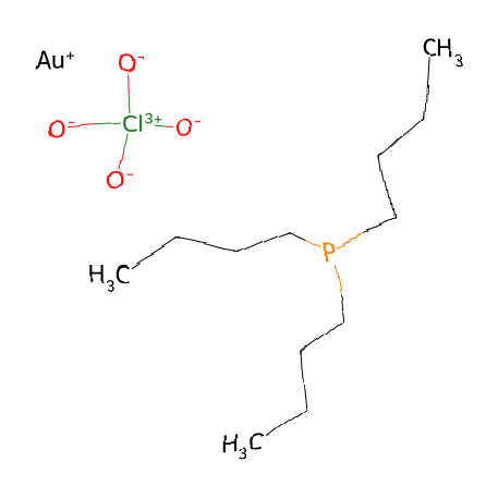 CCCCP(CCCC)CCCC.[Au+].[O-][Cl+3]([O-])([O-])[O-]